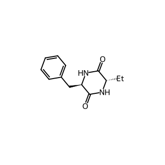 CC[C@@H]1NC(=O)[C@@H](Cc2ccccc2)NC1=O